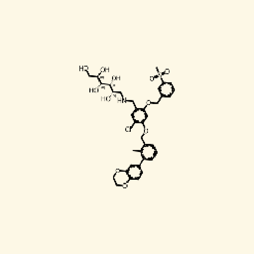 Cc1c(COc2cc(OCc3cccc(S(C)(=O)=O)c3)c(CNC[C@H](O)[C@@H](O)[C@H](O)[C@H](O)CO)cc2Cl)cccc1-c1ccc2c(c1)OCCO2